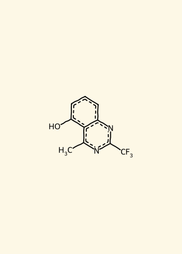 Cc1nc(C(F)(F)F)nc2cccc(O)c12